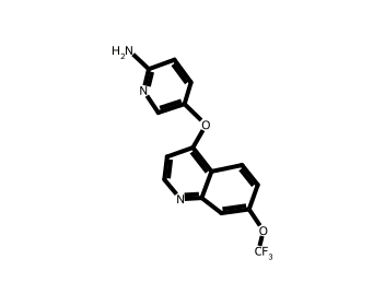 Nc1ccc(Oc2ccnc3cc(OC(F)(F)F)ccc23)cn1